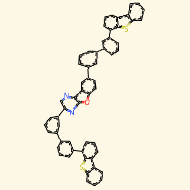 c1cc(-c2cccc(-c3cccc4c3sc3ccccc34)c2)cc(-c2ccc3oc4nc(-c5cccc(-c6cccc(-c7cccc8c7sc7ccccc78)c6)c5)cnc4c3c2)c1